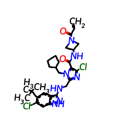 C=CC(=O)N1CC(NC(=O)c2c(Cl)nc(CNc3n[nH]c4cc(Cl)c(C(C)(C)C)cc34)n2CC2CCCC2)C1